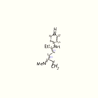 C=C/C(=C\C=C(/CC)NC1=CCNC=C1)NC